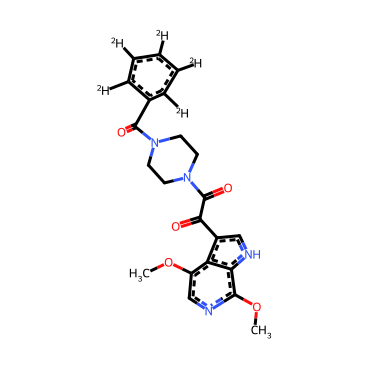 [2H]c1c([2H])c([2H])c(C(=O)N2CCN(C(=O)C(=O)c3c[nH]c4c(OC)ncc(OC)c34)CC2)c([2H])c1[2H]